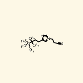 CC(C)(CCc1cn(CCC#N)cn1)[Si](C)(C)O